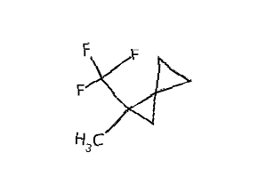 CC1(C(F)(F)F)CC12CC2